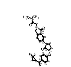 CN(C)C(=O)CN1Cc2ccc(N3CC[C@@H](Oc4ccc(C(=O)C5CC5(F)F)cc4)C3=O)cc2C1=O